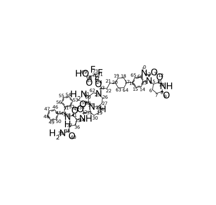 Cn1c(=O)n(C2CCC(=O)NC2=O)c2ccc(C3CCC(CCC(=O)N4CC[C@H]5CC[C@@H](C(=O)N[C@@H](CCC(N)=O)C(=O)NC(c6ccccc6)c6ccccc6)N5C(=O)[C@@H](N)C4)CC3)cc21.O=C(O)C(F)(F)F